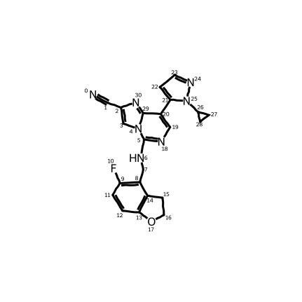 N#Cc1cn2c(NCc3c(F)ccc4c3CCO4)ncc(-c3ccnn3C3CC3)c2n1